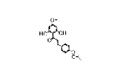 COc1ccc(/C=C/C(=O)c2c(O)cc(O)cc2O)cc1